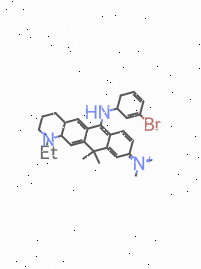 CCN1CCCC2C=C3C(=CC21)C(C)(C)C1=CC(=[N+](C)C)C=CC1=C3NC1C=C(Br)C=CC1